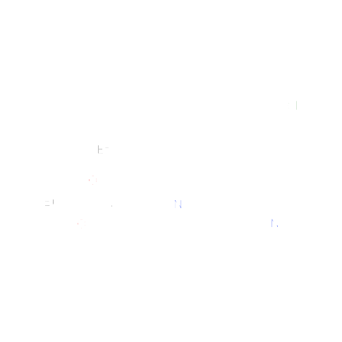 CCOC1(OCC)CCN(c2ccnc3cc(Cl)ccc23)CC1